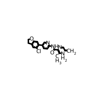 C=C/C=N\C(C(=O)Nc1ccc(-c2cc3c(cc2Cl)CCO3)cn1)=C(\C)N